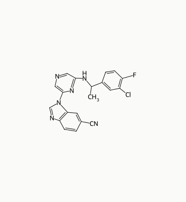 CC(Nc1cncc(-n2cnc3ccc(C#N)cc32)n1)c1ccc(F)c(Cl)c1